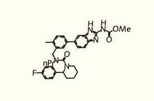 CCCN(Cc1cc(-c2ccc3nc(NC(=O)OC)[nH]c3c2)ccc1C)C(=O)N1CCCCC1c1ccc(F)cc1